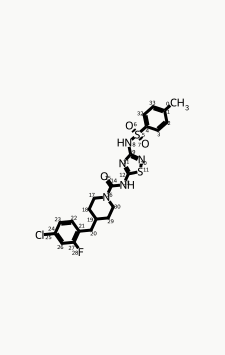 Cc1ccc(S(=O)(=O)Nc2nsc(NC(=O)N3CCC(Cc4ccc(Cl)cc4F)CC3)n2)cc1